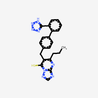 CCCc1nc2ncnn2c(S)c1Cc1ccc(-c2ccccc2-c2nnn[nH]2)cc1